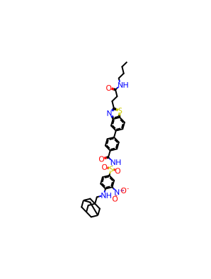 CCCCNC(=O)CCc1nc2cc(-c3ccc(C(=O)NS(=O)(=O)c4ccc(NCC56CC7CC(CC(C7)C5)C6)c([N+](=O)[O-])c4)cc3)ccc2s1